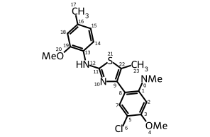 CNc1cc(OC)c(Cl)cc1-c1nc(Nc2ccc(C)cc2OC)sc1C